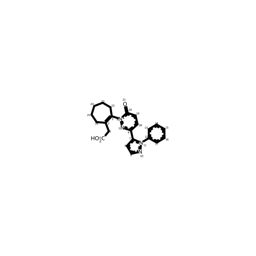 O=C(O)CC1=C(n2nc(-c3ccnn3-c3ccccc3)ccc2=O)CCCCC1